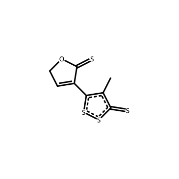 Cc1c(C2=CCOC2=S)ssc1=S